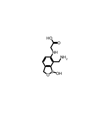 NCc1c(NCC(=O)O)ccc2c1B(O)OC2